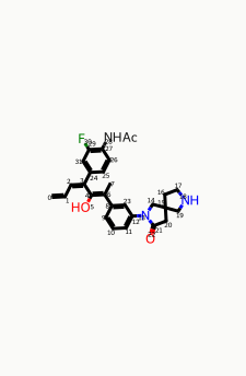 C=C/C=C(\C(O)=C(/C)c1cccc(N2CC3(CCNC3)CC2=O)c1)c1ccc(NC(C)=O)c(F)c1